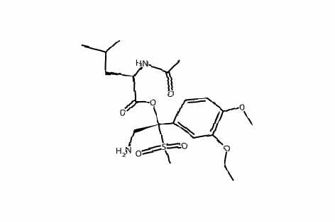 CCOc1cc([C@@](CN)(OC(=O)[C@@H](CC(C)C)NC(C)=O)S(C)(=O)=O)ccc1OC